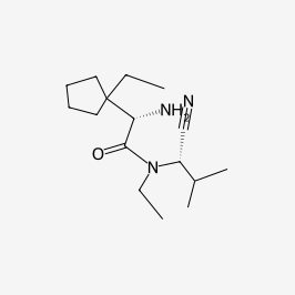 CCN(C(=O)[C@@H](N)C1(CC)CCCC1)[C@H](C#N)C(C)C